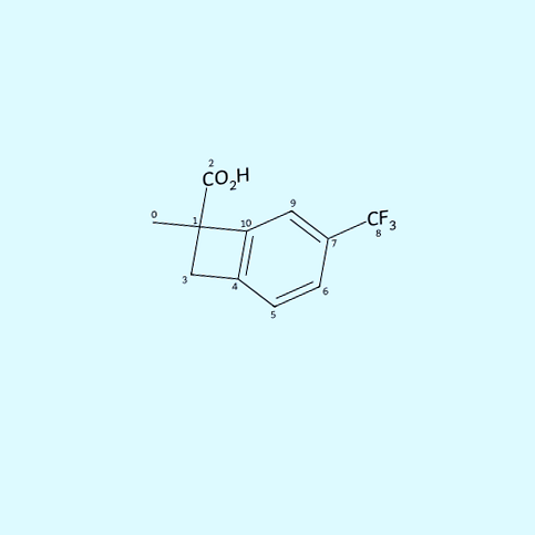 CC1(C(=O)O)Cc2ccc(C(F)(F)F)cc21